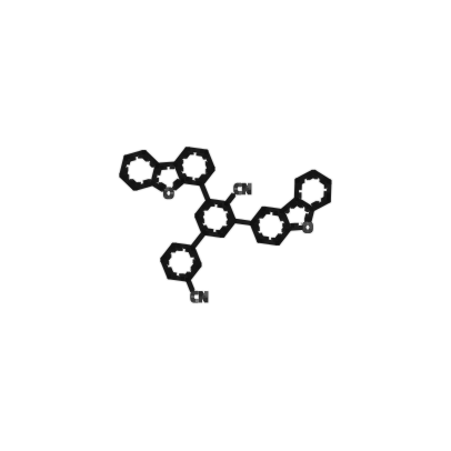 N#Cc1cccc(-c2cc(-c3ccc4oc5ccccc5c4c3)c(C#N)c(-c3cccc4c3oc3ccccc34)c2)c1